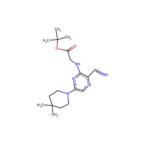 CC1(C)CCN(c2cnc(C=N)c(NCC(=O)OC(C)(C)C)n2)CC1